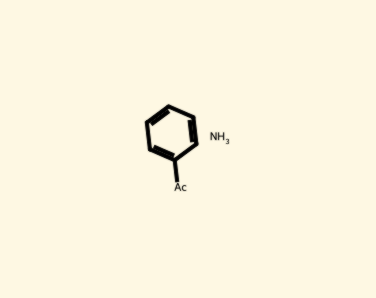 CC(=O)c1ccccc1.N